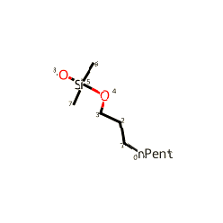 CCCCCCCCO[Si](C)(C)[O]